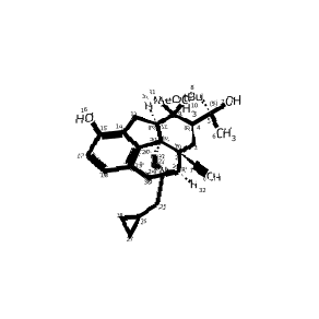 C#C[C@]12C[C@H]([C@](C)(O)C(C)(C)C)C(C)(OC)[C@@H]3Cc4c(O)ccc5c4[C@@]31CCN(CC1CC1)[C@@H]2C5